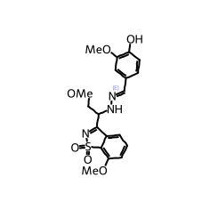 COCC(N/N=C/c1ccc(O)c(OC)c1)C1=NS(=O)(=O)c2c(OC)cccc21